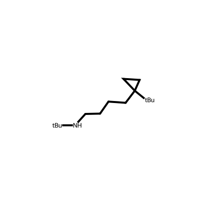 CC(C)(C)NCCCCC1(C(C)(C)C)CC1